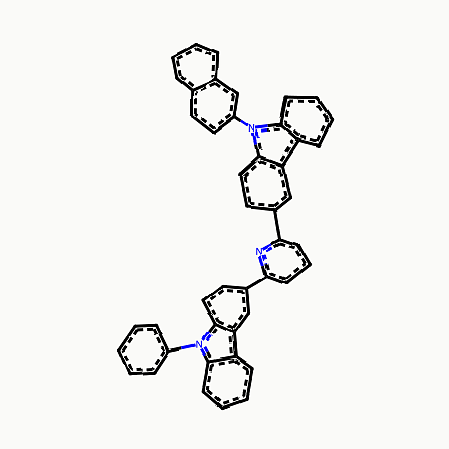 c1ccc(-n2c3ccccc3c3cc(-c4cccc(-c5ccc6c(c5)c5ccccc5n6-c5ccc6ccccc6c5)n4)ccc32)cc1